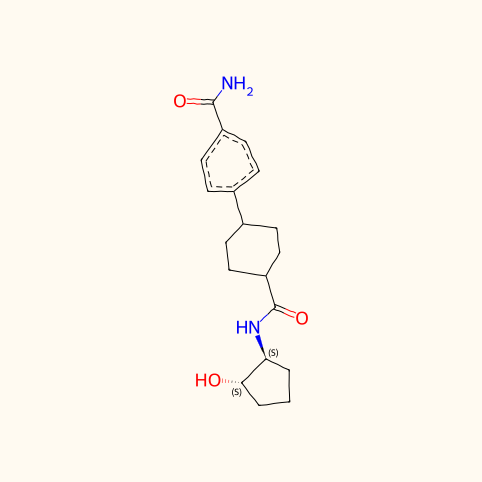 NC(=O)c1ccc(C2CCC(C(=O)N[C@H]3CCC[C@@H]3O)CC2)cc1